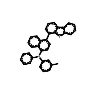 Cc1cccc(N(c2ccccc2)c2ccc(-c3cccc4c3sc3ccccc34)c3ccccc23)c1